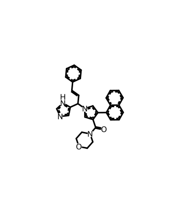 O=C(c1cn(C(C=Cc2ccccc2)c2cnc[nH]2)cc1-c1cccc2ccccc12)N1CCOCC1